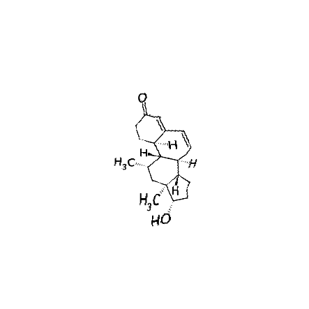 C[C@H]1C[C@]2(C)[C@@H](O)CC[C@H]2[C@@H]2C=CC3=CC(=O)CC[C@@H]3[C@H]21